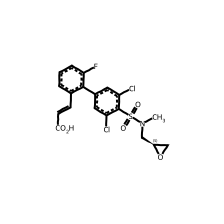 CN(C[C@H]1CO1)S(=O)(=O)c1c(Cl)cc(-c2c(F)cccc2C=CC(=O)O)cc1Cl